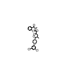 CC(CC(=O)CCN(C)C(=O)c1ccccc1C=O)C(=O)N1CCN(c2cc(Cl)cc(Cl)c2)CC1